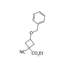 CCOC(=O)C1(C#N)CC(OCc2ccccc2)C1